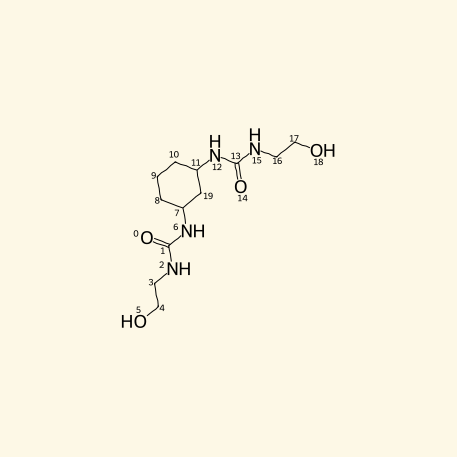 O=C(NCCO)NC1CCCC(NC(=O)NCCO)C1